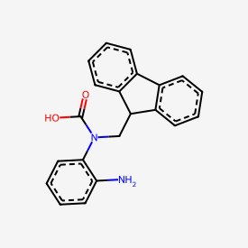 Nc1ccccc1N(CC1c2ccccc2-c2ccccc21)C(=O)O